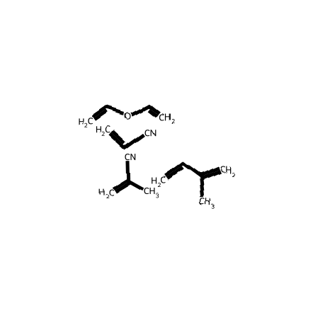 C=C(C)C#N.C=CC#N.C=CC(=C)C.C=COC=C